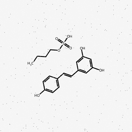 CCCCOS(=O)(=O)O.Oc1ccc(C=Cc2cc(O)cc(O)c2)cc1